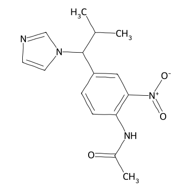 CC(=O)Nc1ccc(C(C(C)C)n2ccnc2)cc1[N+](=O)[O-]